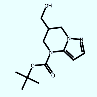 CC(C)(C)OC(=O)N1CC(CO)Cn2nccc21